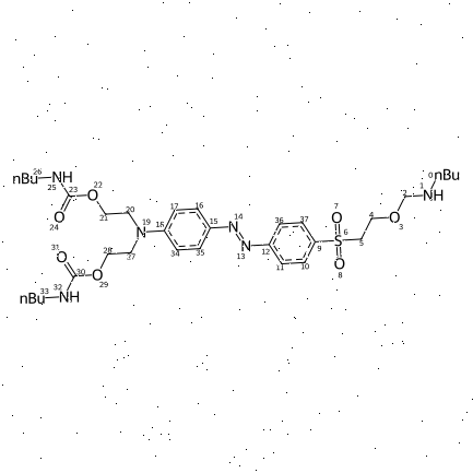 CCCCNCOCCS(=O)(=O)c1ccc(/N=N/c2ccc(N(CCOC(=O)NCCCC)CCOC(=O)NCCCC)cc2)cc1